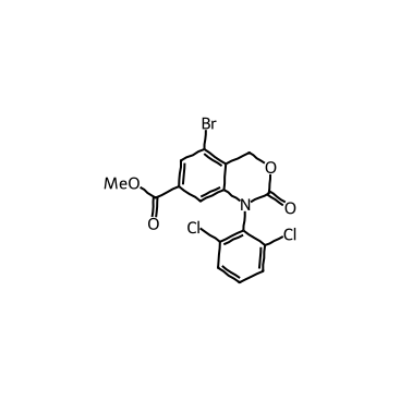 COC(=O)c1cc(Br)c2c(c1)N(c1c(Cl)cccc1Cl)C(=O)OC2